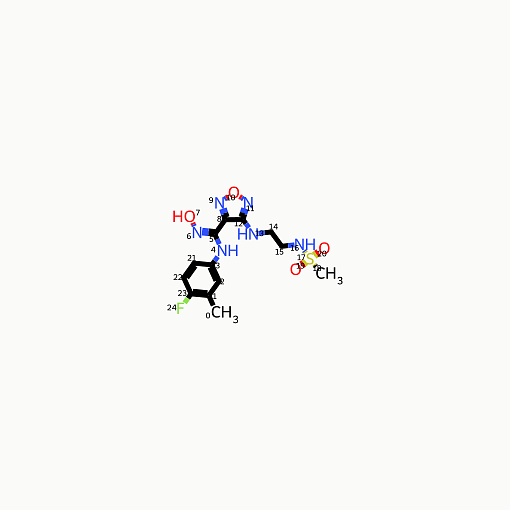 Cc1cc(N/C(=N/O)c2nonc2NCCNS(C)(=O)=O)ccc1F